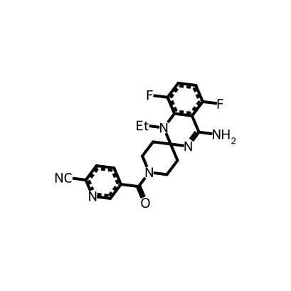 CCN1c2c(F)ccc(F)c2C(N)=NC12CCN(C(=O)c1ccc(C#N)nc1)CC2